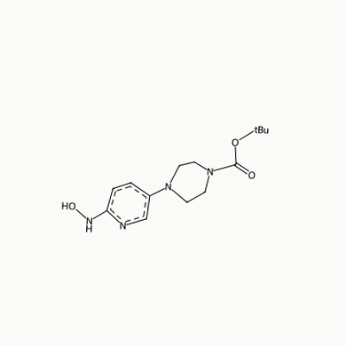 CC(C)(C)OC(=O)N1CCN(c2ccc(NO)nc2)CC1